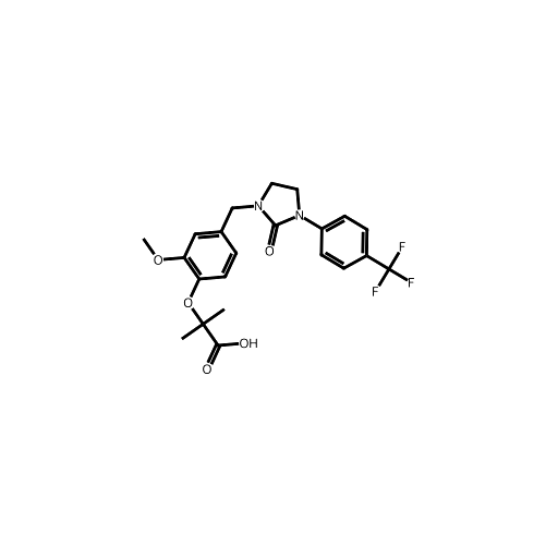 COc1cc(CN2CCN(c3ccc(C(F)(F)F)cc3)C2=O)ccc1OC(C)(C)C(=O)O